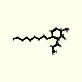 CCCCCCCCCc1ccc(O)c(C)c1C(C)=NO